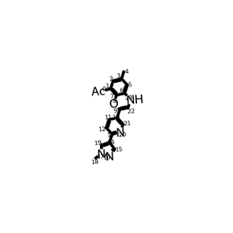 CC(=O)c1cc(C)cc2c1OC(c1ccc(-c3cnn(C)c3)nc1)=CN2